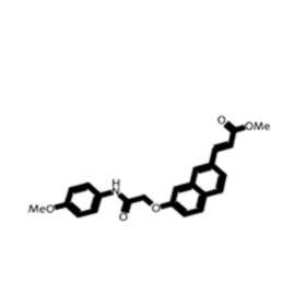 COC(=O)/C=C/c1ccc2ccc(OCC(=O)Nc3ccc(OC)cc3)cc2c1